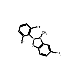 Cc1ccc2c(c1)N(C)B(c1c(C(C)C)cccc1C(C)C)O2